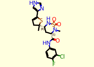 CN1[C@H](C(=O)Nc2ccc(F)c(Cl)c2)C[C@H](C2(C)CC=C(c3c[nH]cn3)S2)NS1(=O)=O